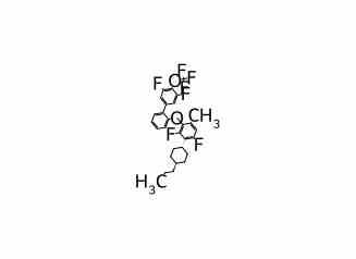 CCC[C@H]1CC[C@H](c2c(F)cc(C)c(Oc3ccccc3-c3cc(F)c(OC(F)(F)F)c(F)c3)c2F)CC1